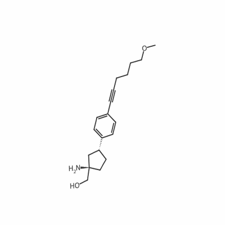 COCCCCC#Cc1ccc([C@@H]2CC[C@](N)(CO)C2)cc1